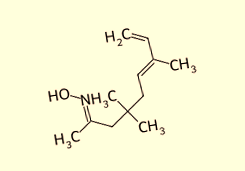 C=CC(C)=CCC(C)(C)CC(C)=NO